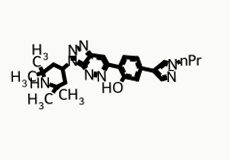 CCCn1cc(-c2ccc(-c3cc4nnn(C5CC(C)(C)NC(C)(C)C5)c4nn3)c(O)c2)cn1